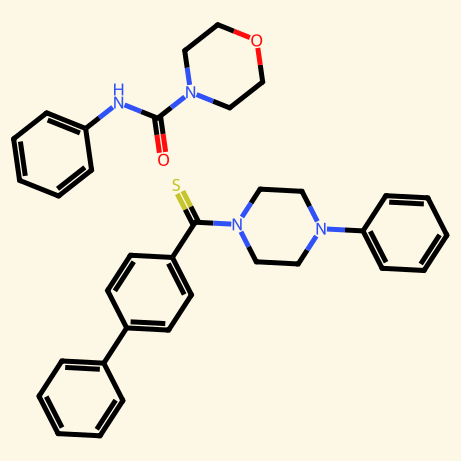 O=C(Nc1ccccc1)N1CCOCC1.S=C(c1ccc(-c2ccccc2)cc1)N1CCN(c2ccccc2)CC1